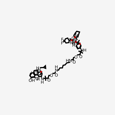 Cc1nnc(C(C)C)n1C1CC2CCC(C1)N2CC[C@H](NC(=O)C1CCC(F)(F)CC1)c1ccc(NC(C)(C)C(=O)COCC(=O)NCCCCCCCNC(=O)COCC(=O)C(C)(C)N[C@@H]2CC[C@@]3(O)[C@H]4Cc5ccc(O)c6c5[C@@]3(CCN4CC3CC3)[C@H]2O6)cc1